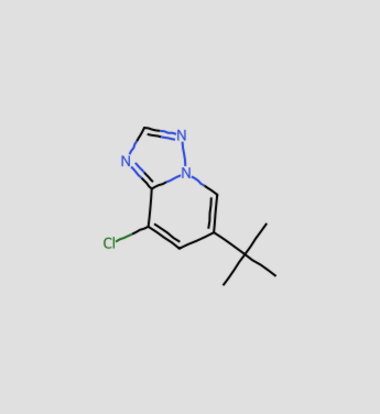 CC(C)(C)c1cc(Cl)c2ncnn2c1